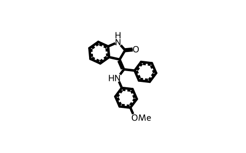 COc1ccc(NC(=C2C(=O)Nc3ccccc32)c2ccccc2)cc1